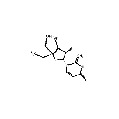 C=C1NC(=O)C=CN1[C@@H]1O[C@](CC)(CO)[C@@H](O)[C@H]1F